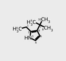 CCc1[nH]ccc1C(C)(C)C